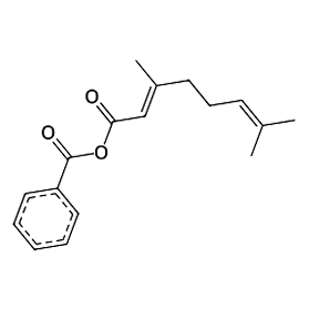 CC(C)=CCC/C(C)=C/C(=O)OC(=O)c1ccccc1